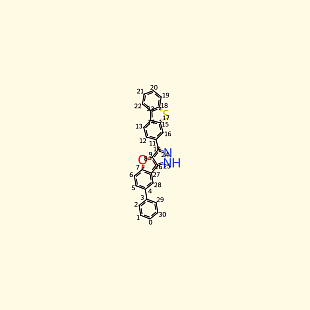 c1ccc(-c2ccc3oc4c(-c5ccc6c(c5)sc5ccccc56)n[nH]c4c3c2)cc1